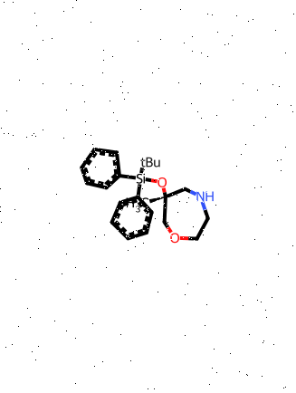 CC(C)(C)[Si](O[C@]1(C)CNCCOC1)(c1ccccc1)c1ccccc1